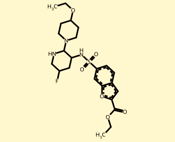 CCOC(=O)c1cc2ccc(S(=O)(=O)NC3CC(F)CNC3N3CCC(OCC)CC3)cc2o1